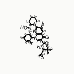 Cc1cc(F)c(-n2cc(C(=O)N[C@@H](C3CC3)C(F)(F)F)c(=O)c3cc(F)c(N4CCCC[C@H]4CO)nc32)c(F)c1